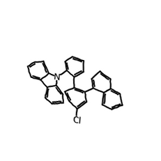 Clc1ccc(-c2ccccc2-n2c3ccccc3c3ccccc32)c(-c2cccc3ccccc23)c1